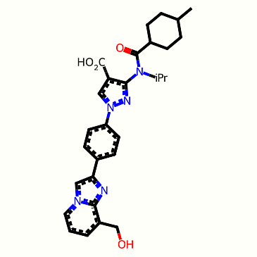 CC1CCC(C(=O)N(c2nn(-c3ccc(-c4cn5cccc(CO)c5n4)cc3)cc2C(=O)O)C(C)C)CC1